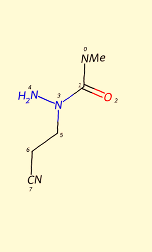 CNC(=O)N(N)CCC#N